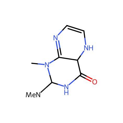 CNC1NC(=O)C2NC=CN=C2N1C